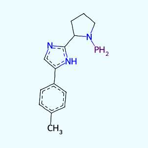 Cc1ccc(-c2cnc(C3CCCN3P)[nH]2)cc1